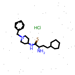 Cl.N[C@H](CCC1CCCCC1)C(=S)NC1CCN(Cc2ccccc2)CC1